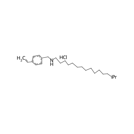 C=Cc1ccc(CNCCCCCCCCCCCCCC(C)C)cc1.Cl